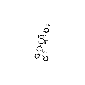 C[C@H](NC(=O)C1CCCN(C(=O)N(c2ccccc2)c2ccccc2)C1)c1cncn1Cc1ccc(C#N)cc1